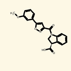 COc1cccc(-c2cc(C(=O)N3C[C@H](C(=O)O)c4ccccc43)no2)c1